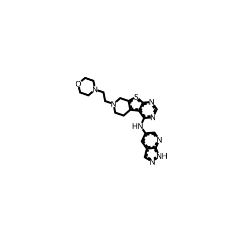 c1nc(Nc2cnc3[nH]ncc3c2)c2c3c(sc2n1)CN(CCN1CCOCC1)CC3